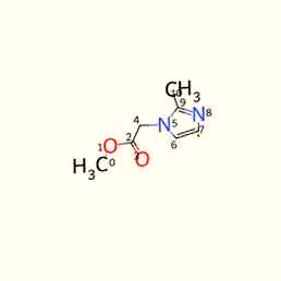 COC(=O)Cn1c[c]nc1C